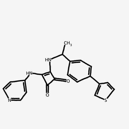 CC(Nc1c(Nc2ccncc2)c(=O)c1=O)c1ccc(-c2ccsc2)cc1